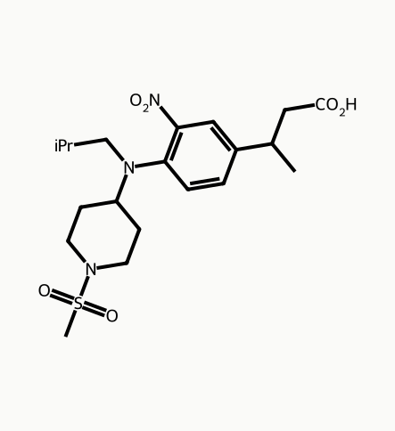 CC(C)CN(c1ccc(C(C)CC(=O)O)cc1[N+](=O)[O-])C1CCN(S(C)(=O)=O)CC1